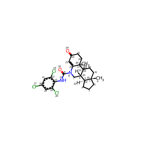 C[C@@]12CCC[C@H]1[C@@H]1CN(C(=O)Nc3c(Cl)cc(Cl)cc3Cl)C3=CC(=O)CC[C@]3(C)[C@H]1CC2